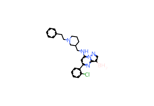 Bc1cnn2c(NCC3CCCN(CCc4ccccc4)C3)cc(-c3ccccc3Cl)nc12